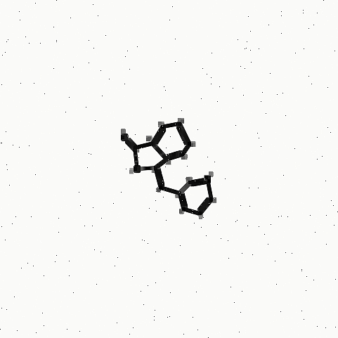 O=C1O/C(=C/c2cccnc2)c2ccccc21